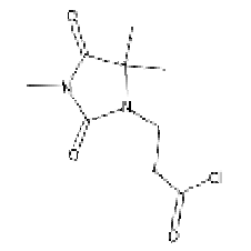 CN1C(=O)N(CCC(=O)Cl)C(C)(C)C1=O